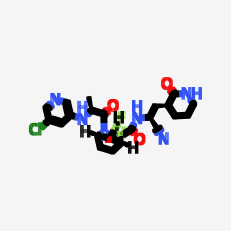 C[C@H](Nc1cncc(Cl)c1)C(=O)N1[C@H]2CC[C@@H]([C@@H]1C(=O)N[C@H](C#N)C[C@@H]1CCCNC1=O)C(F)(F)C2